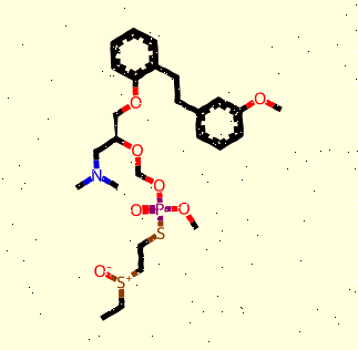 CC[S+]([O-])CCSP(=O)(OC)OCO[C@H](COc1ccccc1CCc1cccc(OC)c1)CN(C)C